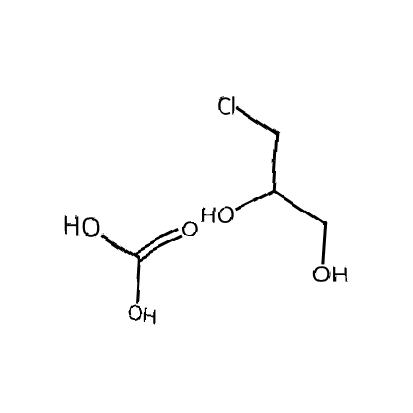 O=C(O)O.OCC(O)CCl